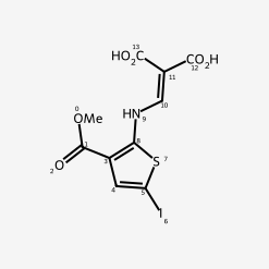 COC(=O)c1cc(I)sc1NC=C(C(=O)O)C(=O)O